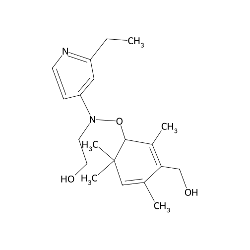 CCc1cc(N(CCO)OC2C(C)=C(CO)C(C)=CC2(C)C)ccn1